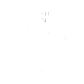 Cn1c2ccc(-c3ccccc3)cc2c2c3c(ccc21)sc1ccc(-c2ccccc2)cc13